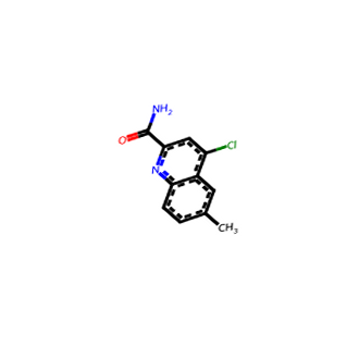 Cc1ccc2nc(C(N)=O)cc(Cl)c2c1